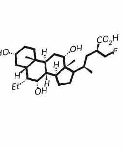 CC[C@H]1[C@@H](O)[C@@H]2[C@H](C[C@H](O)[C@]3(C)C([C@H](C)C[C@H](CF)C(=O)O)CC[C@@H]23)[C@@]2(C)CC[C@@H](O)C[C@@H]12